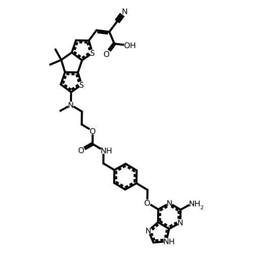 CN(CCOC(=O)NCc1ccc(COc2nc(N)nc3[nH]cnc23)cc1)c1cc2c(s1)-c1sc(/C=C(/C#N)C(=O)O)cc1C2(C)C